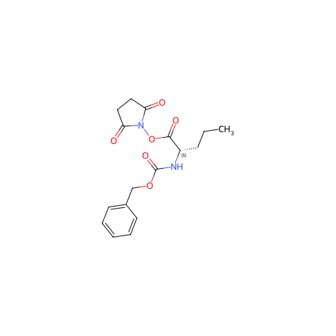 CCC[C@H](NC(=O)OCc1ccccc1)C(=O)ON1C(=O)CCC1=O